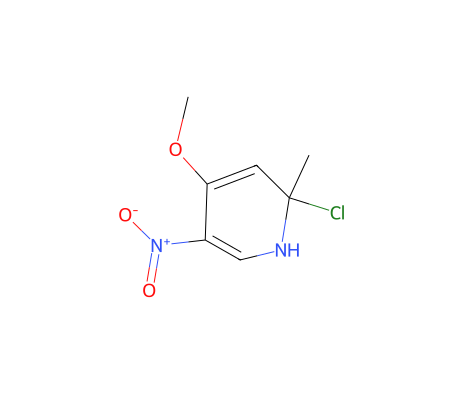 COC1=CC(C)(Cl)NC=C1[N+](=O)[O-]